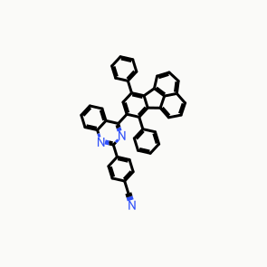 N#Cc1ccc(-c2nc(-c3cc(-c4ccccc4)c4c(c3-c3ccccc3)-c3cccc5cccc-4c35)c3ccccc3n2)cc1